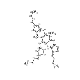 CCCCn1cc[n+](Cc2c(C)c(C[n+]3ccn(CCCC)c3)c(C)c(C[n+]3ccn(CCCC)c3)c2C)c1